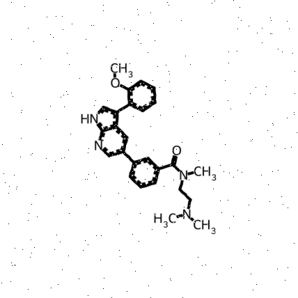 COc1ccccc1-c1c[nH]c2ncc(-c3cccc(C(=O)N(C)CCN(C)C)c3)cc12